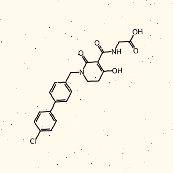 O=C(O)CNC(=O)C1=C(O)CCN(Cc2ccc(-c3ccc(Cl)cc3)cc2)C1=O